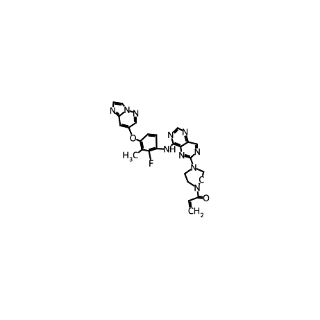 C=CC(=O)N1CCN(c2ncc3ncnc(Nc4ccc(Oc5cnn6ccnc6c5)c(C)c4F)c3n2)CC1